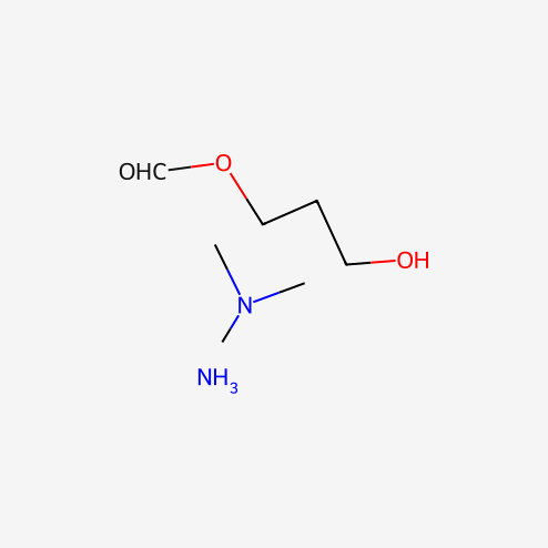 CN(C)C.N.O=COCCCO